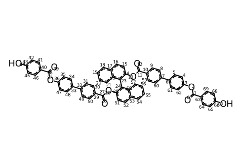 O=C(Oc1ccc(-c2ccc(C(=O)Oc3ccc4ccccc4c3-c3c(OC(=O)c4ccc(-c5ccc(OC(=O)c6ccc(O)cc6)cc5)cc4)ccc4ccccc34)cc2)cc1)c1ccc(O)cc1